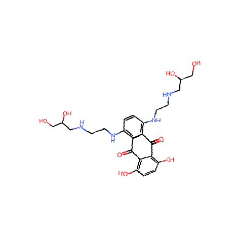 O=C1c2c(O)ccc(O)c2C(=O)c2c(NCCNCC(O)CO)ccc(NCCNCC(O)CO)c21